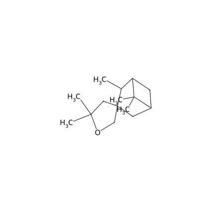 CC1C2CC(CC13COC(C)(C)C3)C2(C)C